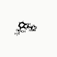 NP(=O)(O)c1cccc2[nH]c(-c3nnn[nH]3)nc12